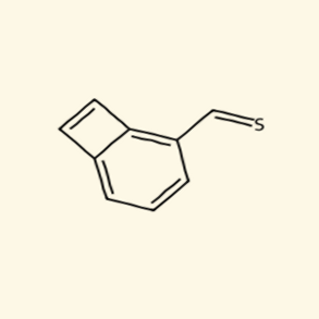 S=Cc1cccc2c1C=C2